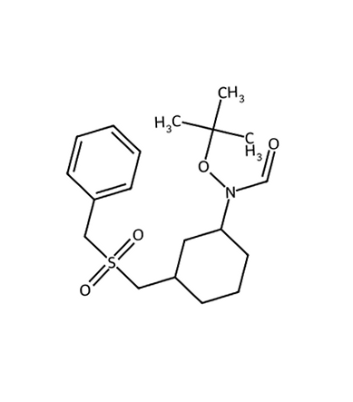 CC(C)(C)ON(C=O)C1CCCC(CS(=O)(=O)Cc2ccccc2)C1